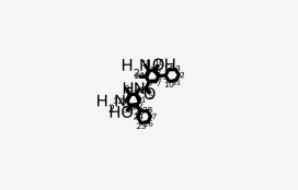 Cc1c(NC(=O)c2cc(C3CCCCC3)c(O)c(N)c2C)cc(C2CCCCC2)c(O)c1N